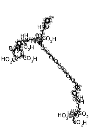 O=C(O)CC[C@H](NC(=O)N[C@@H](CCCCNC(=O)Nc1cccc(-c2cn(CCOCCOCCOCCOCCOCCOCCOCCOCCC(=O)N[C@@H](CCCCNC(=S)Nc3ccc(CC4CN(CC(=O)O)CCN(CC(=O)O)CCN(CC(=O)O)CCN4CC(=O)O)cc3)C(=O)N[C@@H](CCCCNC(=O)Cc3ccc(I)cc3)C(=O)O)nn2)c1)C(=O)O)C(=O)O